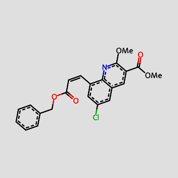 COC(=O)c1cc2cc(Cl)cc(/C=C\C(=O)OCc3ccccc3)c2nc1OC